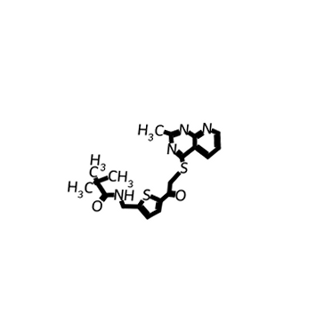 Cc1nc(SCC(=O)c2ccc(CNC(=O)C(C)(C)C)s2)c2cccnc2n1